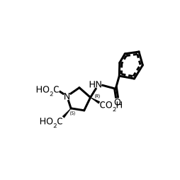 O=C(N[C@]1(C(=O)O)C[C@@H](C(=O)O)N(C(=O)O)C1)c1ccccc1